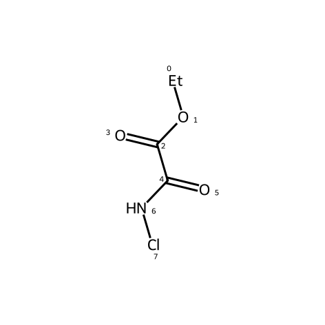 CCOC(=O)C(=O)NCl